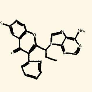 CCC(c1oc2ccc(F)cc2c(=O)c1-c1ccccc1)n1cnc2c(N)ncnc21